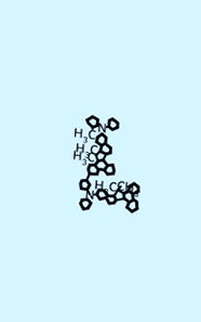 Cc1ccccc1N(c1ccccc1)c1ccc2c3c(ccc2c1)-c1c(c2ccc(-c4cccc(N(c5ccccc5)c5ccc6c7c(ccc6c5)-c5c(c6ccccc6c6ccccc56)C7(C)C)c4)cc2c2ccccc12)C3(C)C